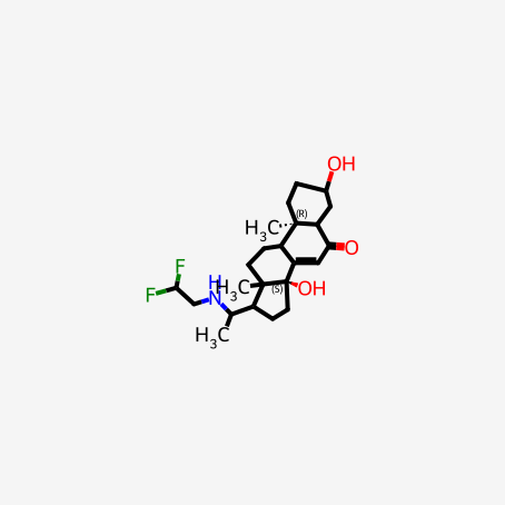 CC(NCC(F)F)C1CC[C@@]2(O)C3=CC(=O)C4CC(O)CC[C@]4(C)C3CCC12C